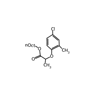 CCCCCCCCOC(=O)C(C)Oc1ccc(Cl)cc1C